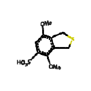 COc1cc(S(=O)(=O)O)c(OC)c2c1CSC2